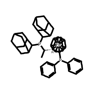 CC(P(C1C2CC3CC(C2)CC1C3)C1C2CC3CC(C2)CC1C3)[C@@]12[CH]3[CH]4[CH]5[C]1(P(c1ccccc1)c1ccccc1)[Fe]45321678[CH]2[CH]1[CH]6[CH]7[CH]28